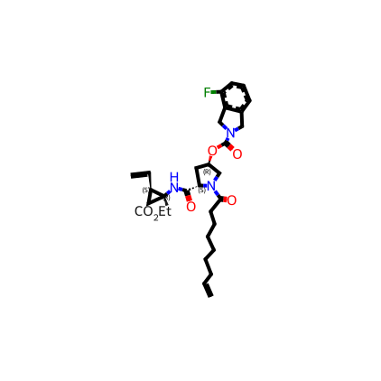 C=CCCCCCCC(=O)N1C[C@H](OC(=O)N2Cc3cccc(F)c3C2)C[C@H]1C(=O)N[C@]1(C(=O)OCC)C[C@H]1C=C